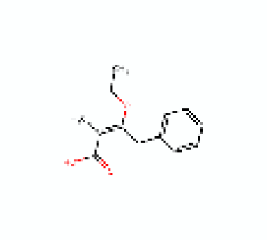 CCOC(Cc1ccccc1)=C(C)C(=O)O